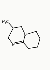 CC1CN=C2CCCCN2C1